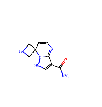 NC(=O)C1=CNN2C1=NC=CC21CNC1